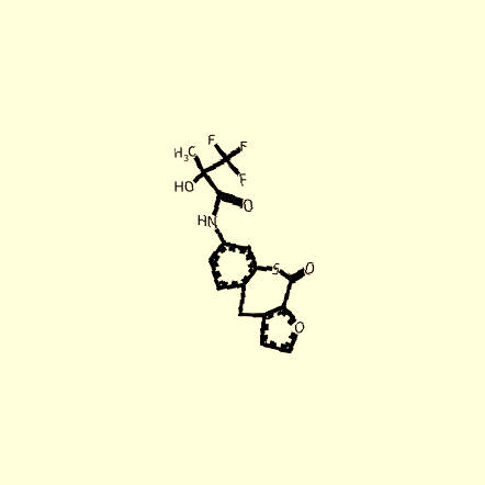 CC(O)(C(=O)Nc1ccc2c(c1)SC(=O)c1occc1C2)C(F)(F)F